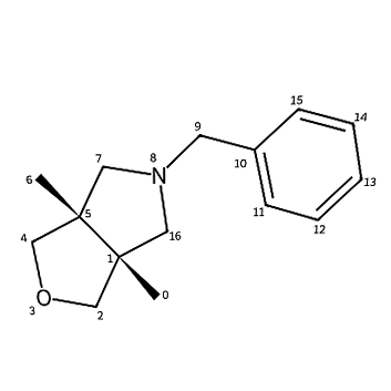 C[C@@]12COC[C@]1(C)CN(Cc1ccccc1)C2